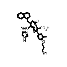 COc1c(Cc2cccc3ccccc23)cc(=O)n2c(C(=O)O)c(-c3ccc(OCCCC(C)C)c(C)c3)sc12.c1c[nH]cn1